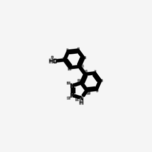 Oc1cccc(-c2cccc3[nH]nnc23)c1